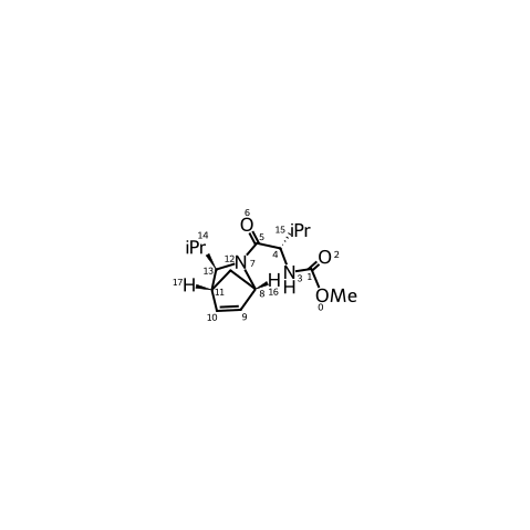 COC(=O)N[C@H](C(=O)N1[C@@H]2C=C[C@@H](C2)[C@H]1C(C)C)C(C)C